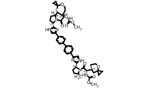 COC(=O)N[C@H](C(=O)N1[C@@H](C)CC[C@H]1c1nc(-c2ccc(-c3ccc(-c4c[nH]c([C@@H]5CC[C@@H]6C7CC8(CC8)OCC[C@@H]7[C@H](NC(=O)OC)C(=O)N65)n4)cc3)cc2)c[nH]1)[C@H]1CCOC2(CC2)C1